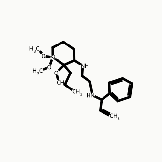 C=CC(NCCNC1CCC[Si](OC)(OC)C1(CCC)OC)c1ccccc1